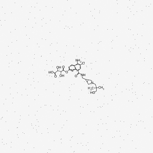 CC(C)(CO)CN1CC2C(CNC(=O)c3cc(Cl)c(N)c4ccc(OC(=O)C(O)C(O)C(=O)O)nc34)C2C1